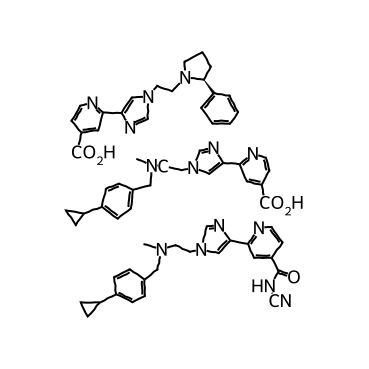 CN(CCn1cnc(-c2cc(C(=O)NC#N)ccn2)c1)Cc1ccc(C2CC2)cc1.CN(CCn1cnc(-c2cc(C(=O)O)ccn2)c1)Cc1ccc(C2CC2)cc1.O=C(O)c1ccnc(-c2cn(CCN3CCC[C@H]3c3ccccc3)cn2)c1